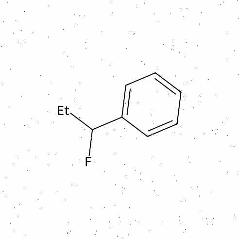 [CH2]CC(F)c1ccccc1